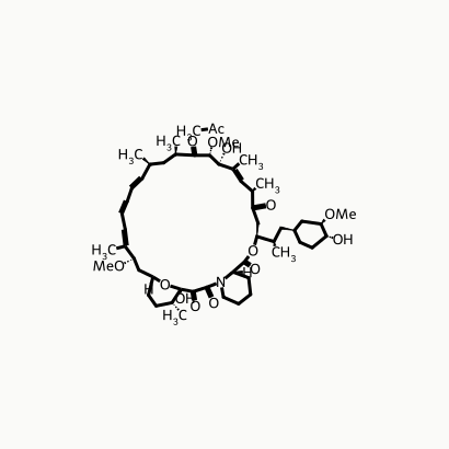 CC(C)=O.CO[C@H]1C[C@@H]2CC[C@@H](C)[C@@](O)(O2)C(=O)C(=O)N2CCCC[C@H]2C(=O)O[C@H]([C@H](C)C[C@@H]2CC[C@@H](O)[C@H](OC)C2)CC(=O)[C@H](C)/C=C(\C)[C@@H](O)[C@@H](OC)C(=O)[C@H](C)C[C@H](C)/C=C/C=C/C=C/1C